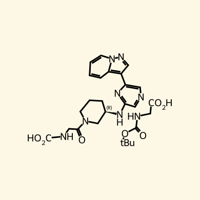 CC(C)(C)OC(=O)NCC(=O)O.O=C(O)NCC(=O)N1CCC[C@@H](Nc2cncc(-c3cnn4ccccc34)n2)C1